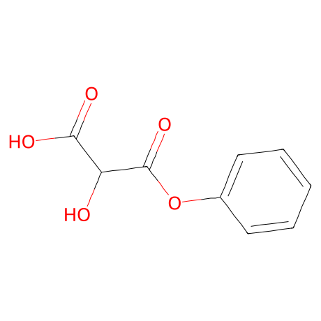 O=C(O)C(O)C(=O)Oc1ccccc1